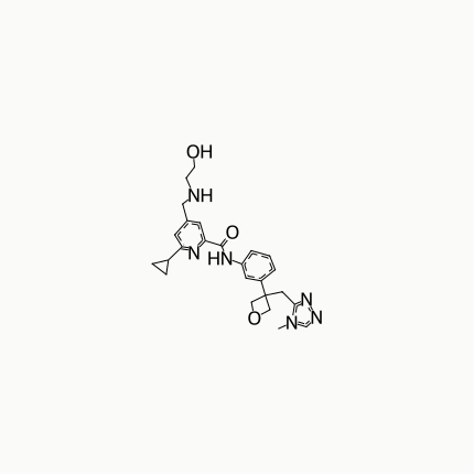 Cn1cnnc1CC1(c2cccc(NC(=O)c3cc(CNCCO)cc(C4CC4)n3)c2)COC1